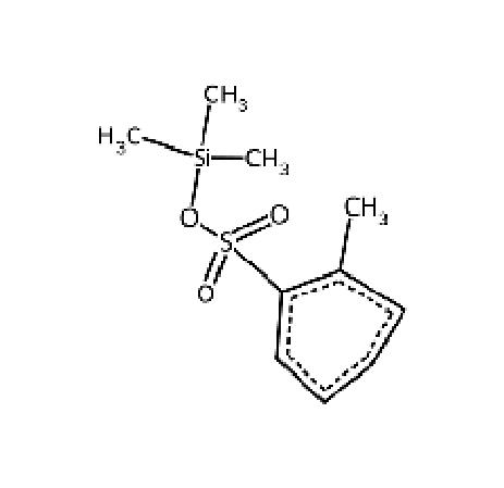 Cc1ccccc1S(=O)(=O)O[Si](C)(C)C